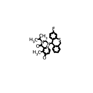 Cc1c2n(ccc1=O)N(C1c3ccccc3CSc3cc(F)ccc31)CN(C(C)C)C2=O